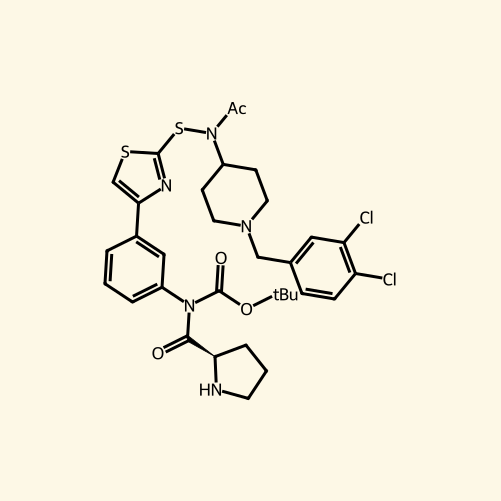 CC(=O)N(Sc1nc(-c2cccc(N(C(=O)OC(C)(C)C)C(=O)[C@H]3CCCN3)c2)cs1)C1CCN(Cc2ccc(Cl)c(Cl)c2)CC1